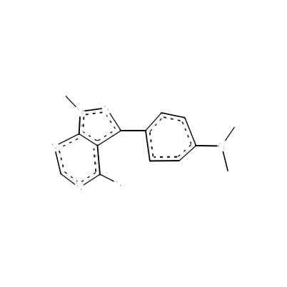 CN(C)c1ccc(-c2nn(C)c3ncnc(N)c23)cc1